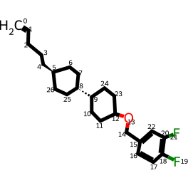 C=CCCC[C@H]1CC[C@H](C2CCC(OCc3ccc(F)c(F)c3)CC2)CC1